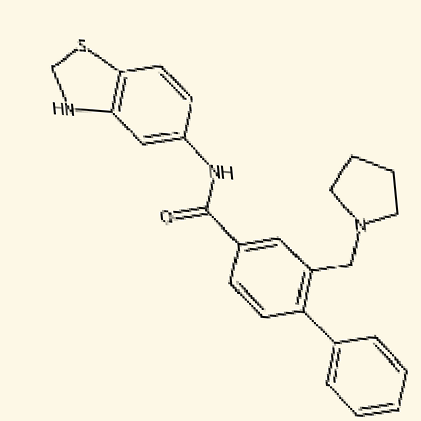 O=C(Nc1ccc2c(c1)NCS2)c1ccc(-c2ccccc2)c(CN2CCCC2)c1